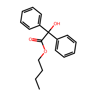 CCCCOC(=O)C(O)(c1ccccc1)c1ccccc1